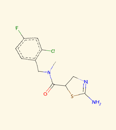 CN(Cc1ccc(F)cc1Cl)C(=O)C1CN=C(N)S1